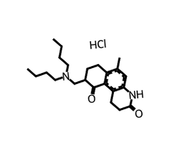 CCCCN(CCCC)CC1CCc2c(C)cc3c(c2C1=O)CCC(=O)N3.Cl